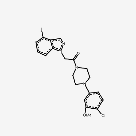 COc1cc(N2CCN(C(=O)Cn3ncc4c(I)nccc43)CC2)ccc1Cl